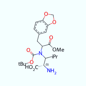 COC(=O)C(Cc1ccc2c(c1)OCO2)N(C(=O)OC(C)(C)C)C(C(C)C)[C@H](N)C(=O)O